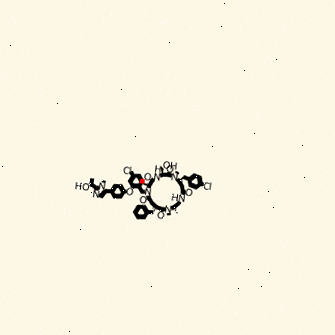 CC(O)c1ncc(-c2ccc(Oc3cc(Cl)ccc3CN3C(=O)C[C@@H](Cc4ccccc4)C(=O)N(C)[C@@H](C)CNC(=O)C[C@H](Cc4ccc(Cl)cc4)N(C)C(=O)[C@H](CO)NC(=O)[C@@H]3C)cc2)n1C